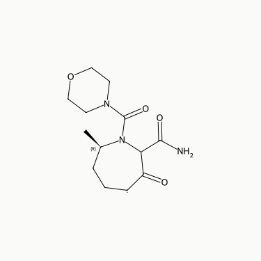 C[C@@H]1CC[CH]C(=O)C(C(N)=O)N1C(=O)N1CCOCC1